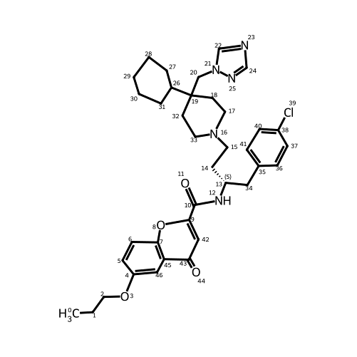 CCCOc1ccc2oc(C(=O)N[C@H](CCN3CCC(Cn4cncn4)(C4CCCCC4)CC3)Cc3ccc(Cl)cc3)cc(=O)c2c1